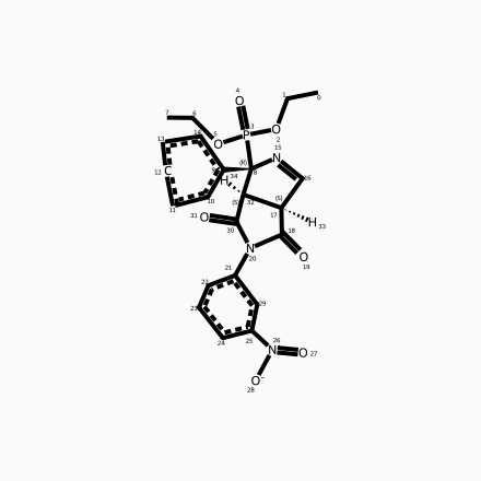 CCOP(=O)(OCC)[C@]1(c2ccccc2)N=C[C@H]2C(=O)N(c3cccc([N+](=O)[O-])c3)C(=O)[C@H]21